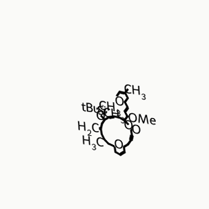 C=C1CC(C)CC2CC=CC(CC#CC(=O)OC(C(C=CC3CC(C)=CCO3)OC)CC=CC(O[Si](C)(C)C(C)(C)C)C1)O2